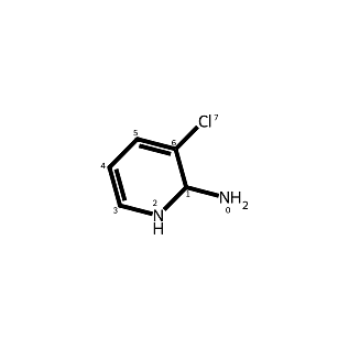 N[C]1NC=CC=C1Cl